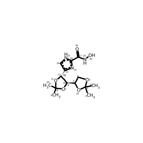 CC1(C)OCC([C@H]2OC(C)(C)O[C@@H]2c2c[nH]c(C(=O)NO)n2)O1